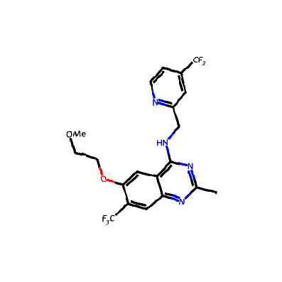 COCCOc1cc2c(NCc3cc(C(F)(F)F)ccn3)nc(C)nc2cc1C(F)(F)F